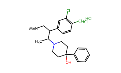 CNCC(c1ccc(Cl)c(Cl)c1)C(C)N1CCC(O)(c2ccccc2)CC1.Cl.Cl